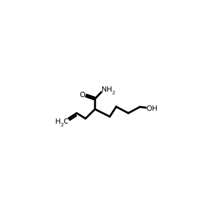 C=CCC(CCCCO)C(N)=O